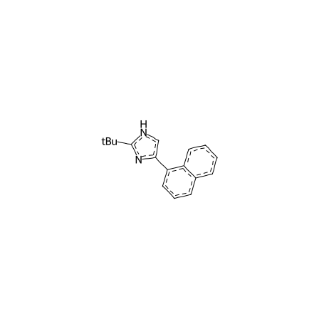 CC(C)(C)c1nc(-c2cccc3ccccc23)c[nH]1